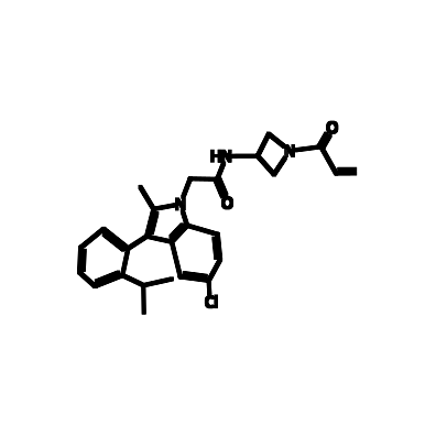 C=CC(=O)N1CC(NC(=O)Cn2c(C)c(-c3ccccc3C(C)C)c3cc(Cl)ccc32)C1